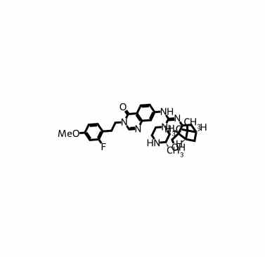 COc1ccc(CCn2cnc3cc(N/C(=N/C4C[C@H]5C[C@@H]([C@@H]4CO)C5(C)C)N4CCN[C@@H](C)C4)ccc3c2=O)c(F)c1